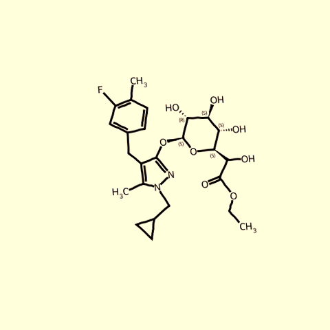 CCOC(=O)C(O)[C@H]1O[C@@H](Oc2nn(CC3CC3)c(C)c2Cc2ccc(C)c(F)c2)[C@H](O)[C@@H](O)[C@@H]1O